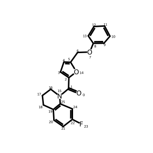 O=C(c1ccc(COc2ccccc2)o1)N1CCCc2ccc(F)cc21